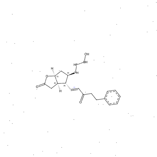 O=C(/C=C/[C@@H]1[C@H]2CC(=O)O[C@H]2C[C@H]1PPBO)CCc1ccccc1